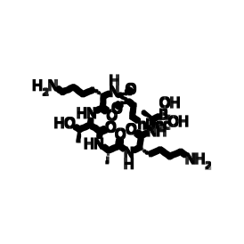 CCCCCCCCCCCCS(=O)(=O)N[C@@H](CCCCN)C(=O)NC(C(=O)N[C@@H](C)C(=O)N[C@@H](CCCCN)C(=O)N[C@@H](C)B(O)O)[C@@H](C)O